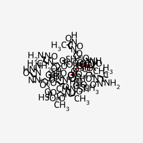 CC[C@H]1O[C@@H](n2cc(C)c(=O)[nH]c2=O)CC1OP(=O)(S)OC[C@H]1O[C@@H](n2cnc3c(=O)[nH]c(N)nc32)CC1OP(=O)(S)OC[C@H]1O[C@@H](n2cc(C)c(N)nc2=O)CC1OP(=O)(S)OC[C@H]1O[C@@H](n2cc(C)c(=O)[nH]c2=O)CC1OP(=O)(S)OC[C@H]1O[C@@H](n2cc(C)c(N)nc2=O)CC1OP(=O)(S)OC[C@H]1O[C@@H](n2cc(C)c(=O)[nH]c2=O)CC1OP(=O)(S)OC[C@H]1O[C@@H](n2cc(C)c(=O)[nH]c2=O)CC1OP(=O)(S)OC